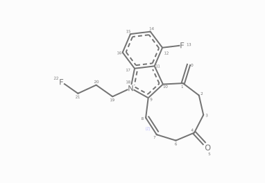 C=C1CCC(=O)C/C=C\c2c1c1c(F)cccc1n2CCCF